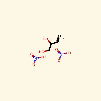 C=CC(O)CO.O=[N+]([O-])O.O=[N+]([O-])O